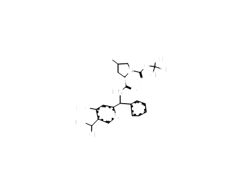 Cc1cc(C(NC(=O)[C@H]2CC(F)CN2C(=O)OC(C)(C)C)c2ccccc2)ncc1C(C)C